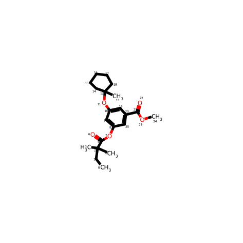 CCC(C)(C)C(=O)Oc1cc(OC2(C)CCCCC2)cc(C(=O)OC)c1